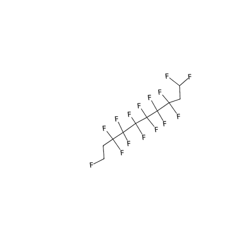 FCCC(F)(F)C(F)(F)C(F)(F)C(F)(F)C(F)(F)C(F)(F)CC(F)F